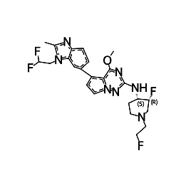 COc1nc(N[C@H]2CCN(CCF)C[C@H]2F)nn2ccc(-c3ccc4nc(C)n(CC(F)F)c4c3)c12